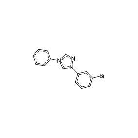 Brc1cccc(-n2c[n+](-c3ccccc3)cn2)c1